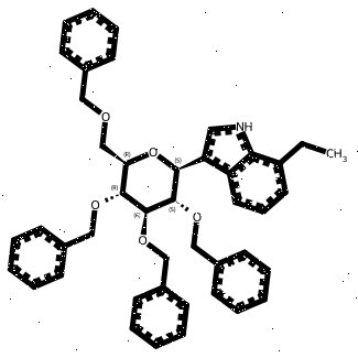 CCc1cccc2c([C@@H]3O[C@H](COCc4ccccc4)[C@@H](OCc4ccccc4)[C@H](OCc4ccccc4)[C@H]3OCc3ccccc3)c[nH]c12